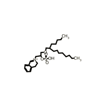 CCCCCCCCC(CCCCC)COCC(C[N+]1=Cc2ccccc2CC1)OS(=O)(=O)O